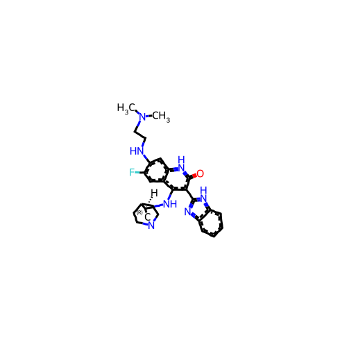 CN(C)CCNc1cc2[nH]c(=O)c(-c3nc4ccccc4[nH]3)c(N[C@H]3CN4CCC3CC4)c2cc1F